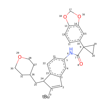 CC(C)(C)C1=Cc2cc(NC(=O)C3(c4ccc5c(c4)OCO5)CC3)ccc2C1CC1CCOCC1